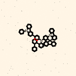 c1ccc(-c2ccccc2-c2ccccc2N(c2ccc(-c3ccc4c(c3)c3ccccc3n4-c3ccccc3)cc2)c2ccc3c(c2)C2(c4ccccc4-c4ccccc42)c2cccc4c5ccccc5n-3c24)cc1